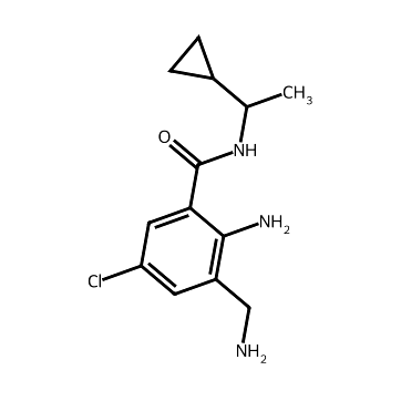 CC(NC(=O)c1cc(Cl)cc(CN)c1N)C1CC1